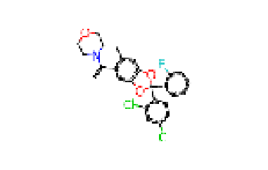 C=C(c1cc2c(cc1C)OC(c1ccccc1F)(c1ccc(Cl)cc1Cl)O2)N1CCOCC1